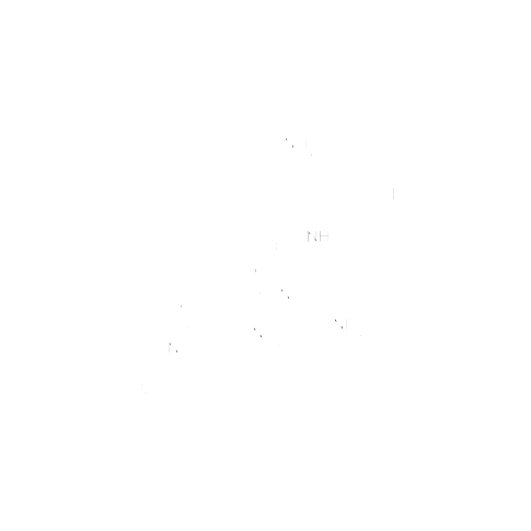 NCc1ccc(Cl)cc1CNC(=O)[C@@H]1C[C@H](N)CN1C(=O)[C@H](N)CCC(=O)N1CCOCC1